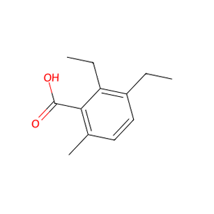 CCc1ccc(C)c(C(=O)O)c1CC